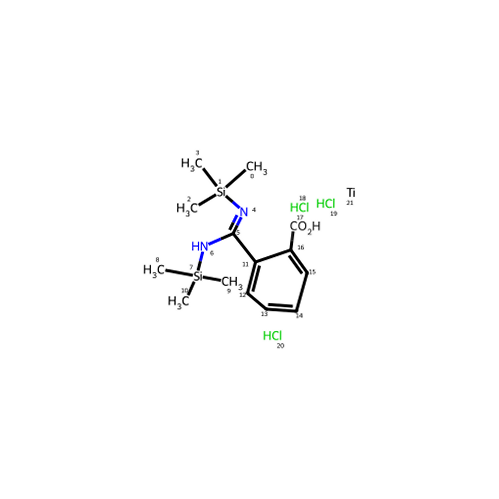 C[Si](C)(C)N=C(N[Si](C)(C)C)c1ccccc1C(=O)O.Cl.Cl.Cl.[Ti]